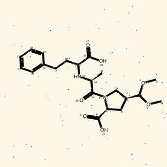 COC(OC)[C@H]1C[C@@H](C(=O)O)N(C(=O)[C@H](C)NC(CCc2ccccc2)C(=O)O)C1